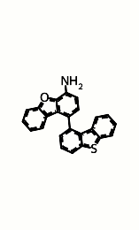 Nc1ccc(-c2cccc3sc4ccccc4c23)c2c1oc1ccccc12